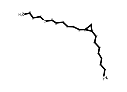 CCCCCCCCC1CC1CCCCCCOCCCC